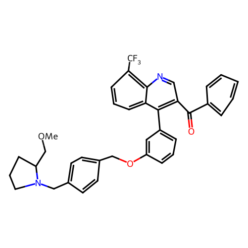 COCC1CCCN1Cc1ccc(COc2cccc(-c3c(C(=O)c4ccccc4)cnc4c(C(F)(F)F)cccc34)c2)cc1